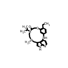 CCc1ccc2cc1OCC(=O)N(C(C)C)CCN(C)Cc1c[nH]c3nccc(c13)N2